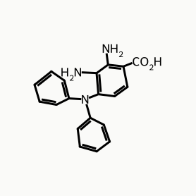 Nc1c(C(=O)O)ccc(N(c2ccccc2)c2ccccc2)c1N